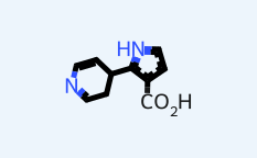 O=C(O)c1cc[nH]c1C1C=CN=CC1